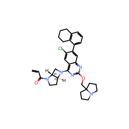 C=CC(=O)N1CC[C@H]2[C@H]1CN2c1nc(OCC23CCCN2CCC3)nc2cc(-c3cccc4c3CCCC4)c(Cl)cc12